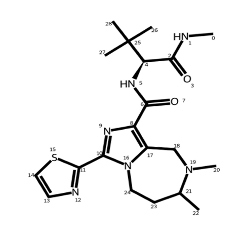 CNC(=O)[C@@H](NC(=O)c1nc(-c2nccs2)n2c1CN(C)C(C)CC2)C(C)(C)C